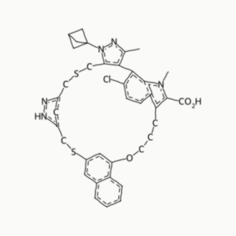 Cc1nn(C23CC(C2)C3)c2c1-c1c(Cl)ccc3c(c(C(=O)O)n(C)c13)CCCOc1cc(cc3ccccc13)SCc1cc(n[nH]1)CSC2